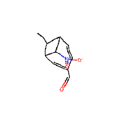 CC1C2C=CC(C=O)=CC1C2[N+](=O)[O-]